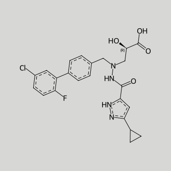 O=C(NN(Cc1ccc(-c2cc(Cl)ccc2F)cc1)C[C@@H](O)C(=O)O)c1cc(C2CC2)n[nH]1